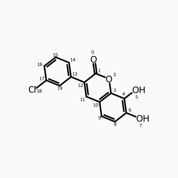 O=c1oc2c(O)c(O)ccc2cc1-c1cccc(Cl)c1